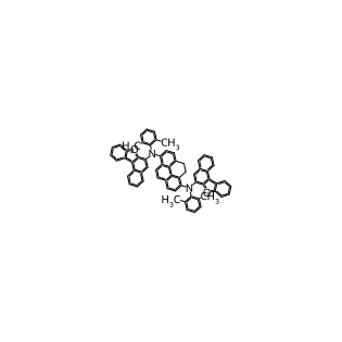 Cc1cccc(C)c1N(c1ccc2ccc3c(N(c4c(C)cccc4C)c4cc5ccccc5c5c4oc4ccccc45)ccc4c3c2c1CC4)c1cc2ccccc2c2c1oc1ccccc12